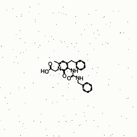 Cc1cc(Cc2ccccc2)c(NC(=O)NCc2ccccc2)c(=O)n1CC(=O)O